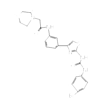 O=C(CN1CCOCC1)Nc1cccc(-c2csc(NC(=O)Nc3ccc(Br)cc3)n2)c1